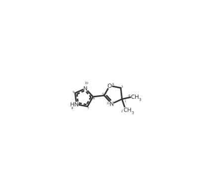 CC1(C)COC(c2c[nH]cn2)=N1